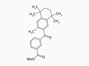 COC(=O)c1cccc(C(=O)c2cc3c(cc2C)C(C)(C)CCC3(C)C)c1